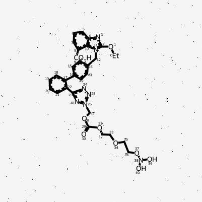 CCOc1nc2cccc(C(=O)O)c2n1Cc1ccc(-c2ccccc2-c2nnn(COC(=O)OCCOCCON(O)O)n2)cc1